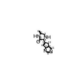 C=C1CNC(C2=Cc3ncncc3C2)C(=O)N1